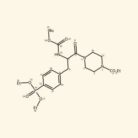 CCOC(=O)N1CCN(C(=O)C(Cc2ccc(P(=O)(OCC)OCC)cc2)NC(=O)OC(C)(C)C)CC1